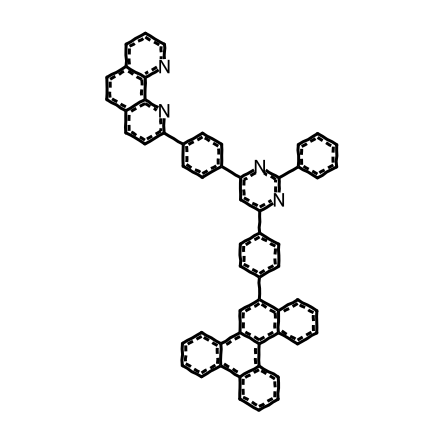 c1ccc(-c2nc(-c3ccc(-c4ccc5ccc6cccnc6c5n4)cc3)cc(-c3ccc(-c4cc5c6ccccc6c6ccccc6c5c5ccccc45)cc3)n2)cc1